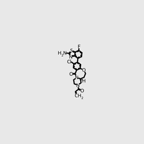 C=CC(=O)N1CCN2C(=O)c3cc(Cl)c(-c4ccc(F)c5sc(N)nc45)cc3OCC[C@H]2C1